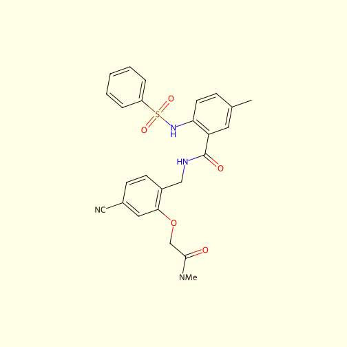 CNC(=O)COc1cc(C#N)ccc1CNC(=O)c1cc(C)ccc1NS(=O)(=O)c1ccccc1